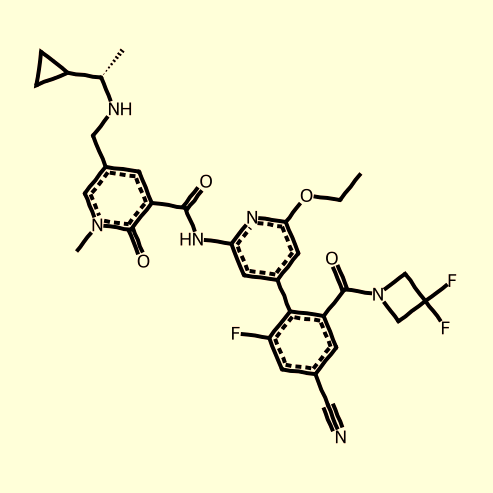 CCOc1cc(-c2c(F)cc(C#N)cc2C(=O)N2CC(F)(F)C2)cc(NC(=O)c2cc(CN[C@@H](C)C3CC3)cn(C)c2=O)n1